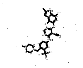 Cc1cc2c(F)c(Oc3ncnc(Nc4ccc(CN5CCN(C)CC5)c(C(F)(F)F)c4)c3C#N)cc(F)c2[nH]1